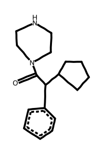 O=C(C(c1ccccc1)C1CCCC1)N1CCNCC1